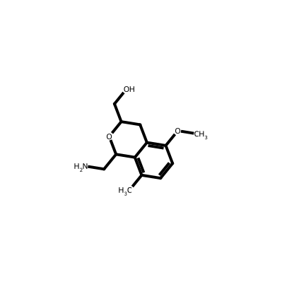 COc1ccc(C)c2c1CC(CO)OC2CN